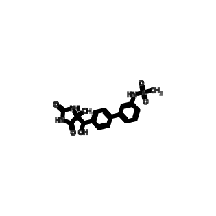 CC1(C(O)c2ccc(-c3cccc(NS(C)(=O)=O)c3)cc2)NC(=O)NC1=O